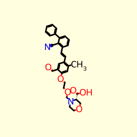 Cc1cc(OCCOCN2CCOC[C@H]2C(=O)O)c(C=O)cc1/C=C/c1cccc(-c2ccccc2)c1C#N